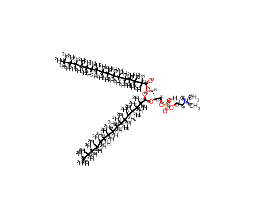 [2H]C([2H])([2H])C([2H])([2H])C([2H])([2H])C([2H])([2H])C([2H])([2H])C([2H])([2H])C([2H])([2H])C([2H])([2H])C([2H])([2H])C([2H])([2H])C([2H])([2H])C([2H])([2H])C([2H])([2H])C([2H])([2H])C([2H])([2H])C(=O)OC[C@H](COP(=O)([O-])OCC[N+](C)(C)C)OC(=O)C([2H])([2H])C([2H])([2H])C([2H])([2H])C([2H])([2H])C([2H])([2H])C([2H])([2H])C([2H])([2H])C([2H])([2H])C([2H])([2H])C([2H])([2H])C([2H])([2H])C([2H])([2H])C([2H])([2H])C([2H])([2H])C([2H])([2H])[2H]